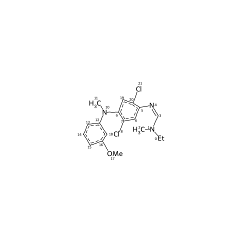 CCN(C)/C=N\c1cc(Cl)c(N(C)c2cccc(OC)c2)cc1Cl